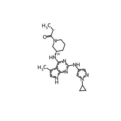 C[CH]C(=O)N1CCC[C@@H](Nc2nc(Nc3cnn(C4CC4)c3)nc3[nH]cc(C)c23)C1